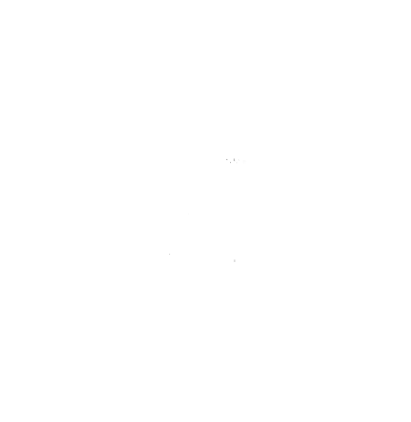 CNCc1ccccc1SC1CC1.Cl